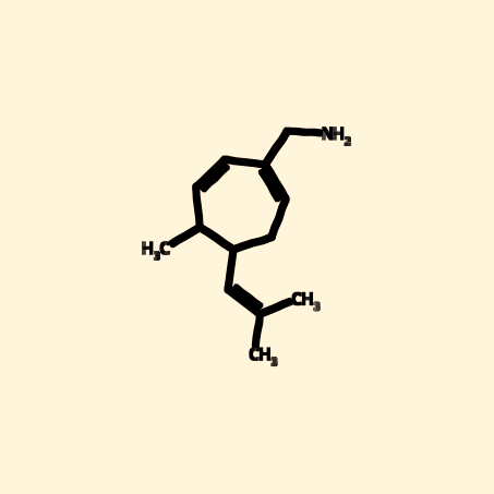 CC(C)=CC1CC=C(CN)C=CC1C